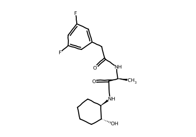 C[C@H](NC(=O)Cc1cc(F)cc(F)c1)C(=O)N[C@@H]1CCCC[C@H]1O